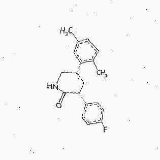 Cc1ccc(C)c([C@H]2CNC(=O)[C@@H](c3ccc(F)cc3)C2)c1